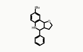 CC(C)(C)c1ccc2c(c1)C1OCCC1C(c1ccccc1)N2